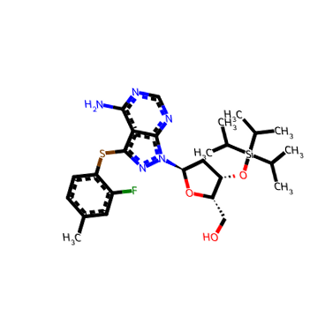 Cc1ccc(Sc2nn([C@H]3C[C@H](O[Si](C(C)C)(C(C)C)C(C)C)[C@H](CO)O3)c3ncnc(N)c23)c(F)c1